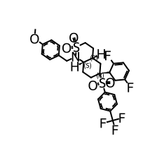 COc1ccc(CN2[C@H]3CC[C@@](C4CC(F)=CC=C4F)(S(=O)(=O)c4ccc(C(F)(F)F)cc4)C[C@H]3CCS2(=O)=O)cc1